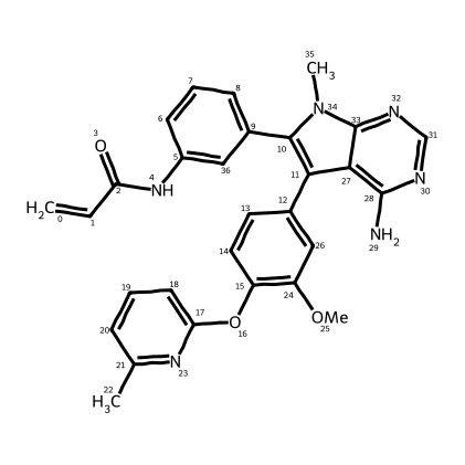 C=CC(=O)Nc1cccc(-c2c(-c3ccc(Oc4cccc(C)n4)c(OC)c3)c3c(N)ncnc3n2C)c1